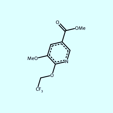 COC(=O)c1cnc(OCC(F)(F)F)c(OC)c1